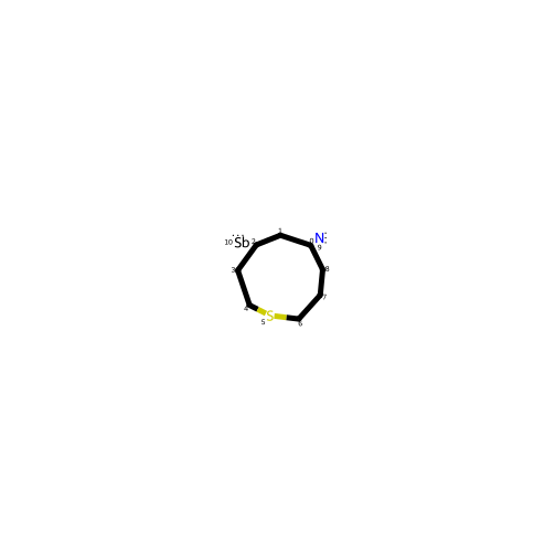 C1CCCCSCCC1.[N].[Sb]